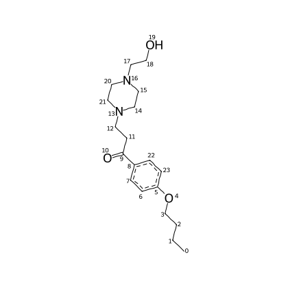 CCCCOc1ccc(C(=O)CCN2CCN(CCO)CC2)cc1